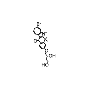 Cn1c2c(c3c1C(C)(C)c1cc(OC[C@@H](O)CCO)ccc1C3=O)C=CCC(Br)=C2